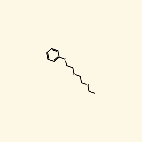 C[CH]OCCOCCOc1ccccc1